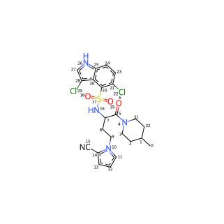 CC1CCN(C(=O)C(CCn2cccc2C#N)NS(=O)(=O)c2c(Cl)ccc3[nH]cc(Cl)c23)CC1